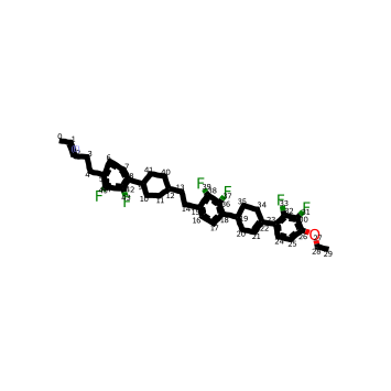 C/C=C/CCc1ccc(C2CCC(CCc3ccc(C4CC=C(c5ccc(OCC)c(F)c5F)CC4)c(F)c3F)CC2)c(F)c1F